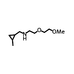 COCCOCCNCC1CC1C